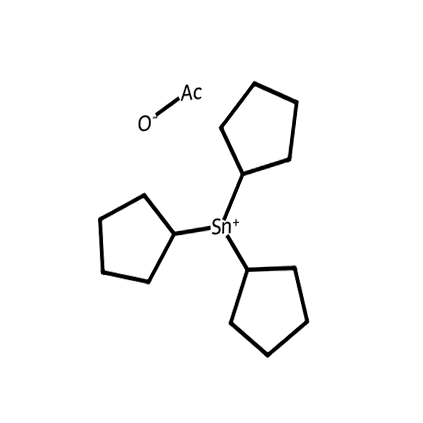 C1CC[CH]([Sn+]([CH]2CCCC2)[CH]2CCCC2)C1.CC(=O)[O-]